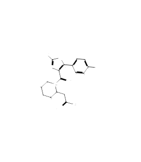 Cc1nc(C(=O)N2CCCCC2CC(N)=O)c(-c2ccc(F)cc2)s1